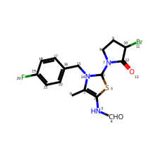 CC1=C(NC=O)SC(N2CCC(Br)C2=O)N1Cc1ccc(F)cc1